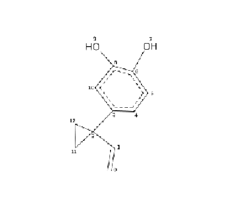 C=CC1(c2ccc(O)c(O)c2)CC1